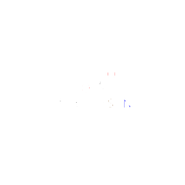 CCCOC(=O)S[N]